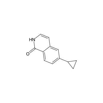 O=c1[nH]ccc2cc(C3CC3)ccc12